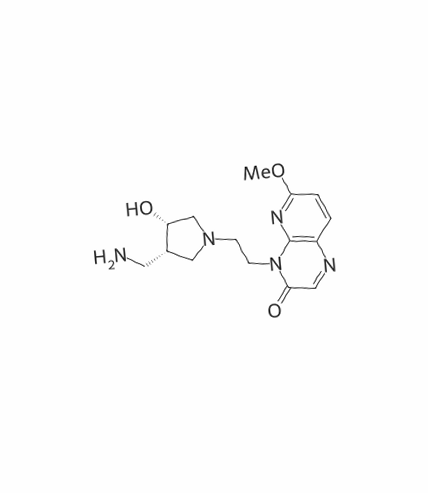 COc1ccc2ncc(=O)n(CCN3C[C@H](CN)[C@H](O)C3)c2n1